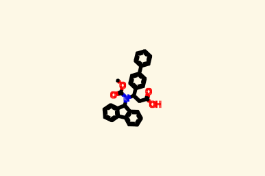 COC(=O)N(C(CC(=O)O)c1ccc(-c2ccccc2)cc1)C1c2ccccc2-c2ccccc21